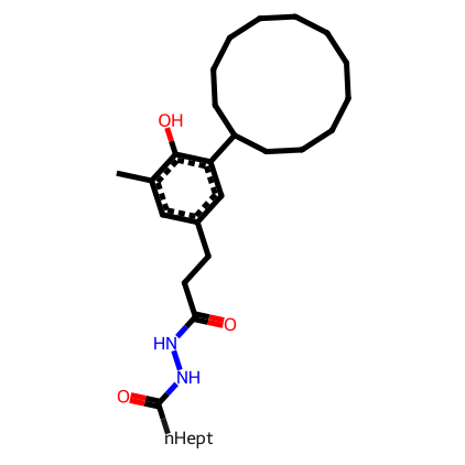 CCCCCCCC(=O)NNC(=O)CCc1cc(C)c(O)c(C2CCCCCCCCCCC2)c1